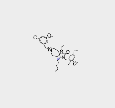 CCCC/C=C1\N(Cc2cc(CC)cc(OC)c2C)C(=O)N(CC)C12CCN(Cc1cc(OC)cc(OC)c1)CC2